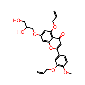 C=CCOc1cc(-c2cc(=O)c3c(OCC=C)cc(OCC(O)CO)cc3o2)ccc1OC